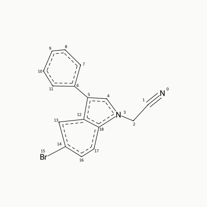 N#CCn1cc(-c2ccccc2)c2cc(Br)ccc21